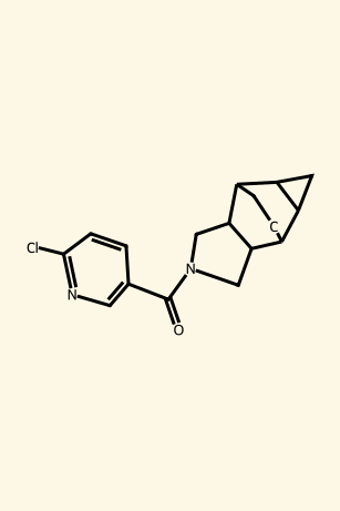 O=C(c1ccc(Cl)nc1)N1CC2C3CCC(C4CC34)C2C1